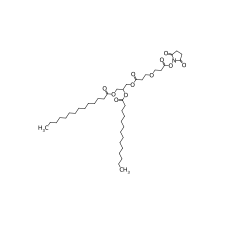 CCCCCCCCCCCCCC(=O)OCC(COC(=O)CCOCCC(=O)ON1C(=O)CCC1=O)OC(=O)CCCCCCCCCCCCC